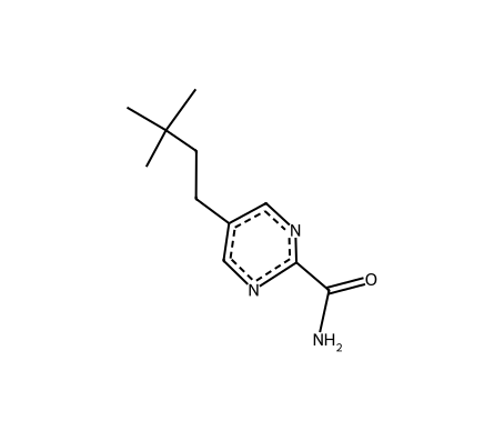 CC(C)(C)CCc1cnc(C(N)=O)nc1